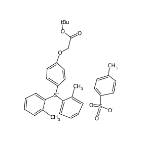 Cc1ccc(S(=O)(=O)[O-])cc1.Cc1ccccc1[S+](c1ccc(OCC(=O)OC(C)(C)C)cc1)c1ccccc1C